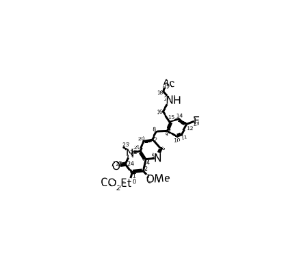 CCOC(=O)c1c(OC)c2ncc(Cc3ccc(F)cc3CNCC(C)=O)cc2n(C)c1=O